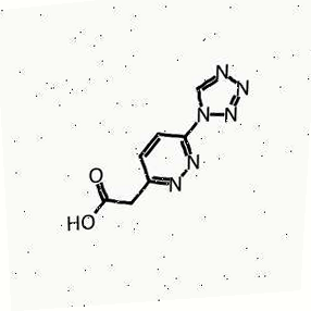 O=C(O)Cc1ccc(-n2cnnn2)nn1